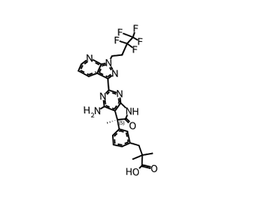 CC(C)(Cc1cccc([C@]2(C)C(=O)Nc3nc(-c4nn(CCC(F)(F)C(F)(F)F)c5ncccc45)nc(N)c32)c1)C(=O)O